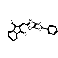 S=C1C(=Cc2nc3sc(-c4ccccc4)nc3o2)C(=S)c2ccccc21